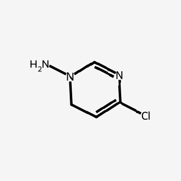 NN1C=NC(Cl)=CC1